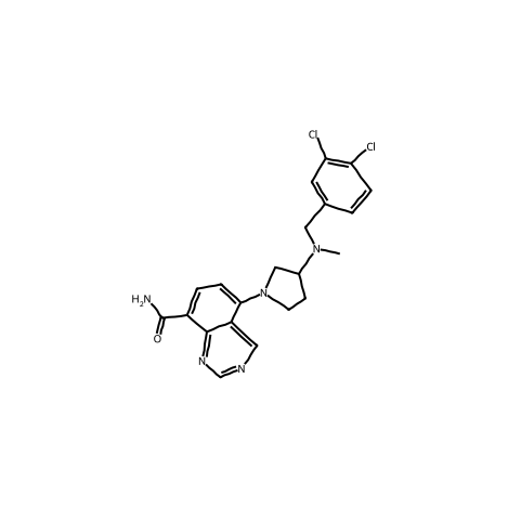 CN(Cc1ccc(Cl)c(Cl)c1)C1CCN(c2ccc(C(N)=O)c3ncncc23)C1